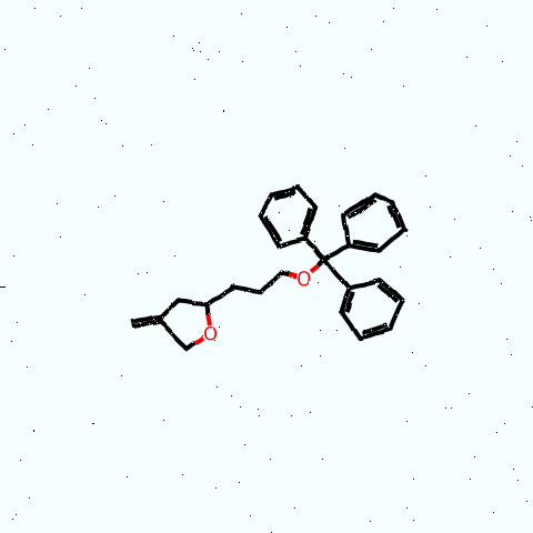 C=C1COC(CCCOC(c2ccccc2)(c2ccccc2)c2ccccc2)C1